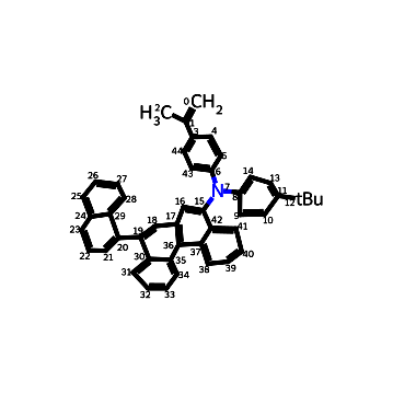 C=C(C)c1ccc(N(c2ccc(C(C)(C)C)cc2)c2cc3cc(-c4cccc5ccccc45)c4ccccc4c3c3ccccc23)cc1